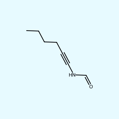 CCCCC#CNC=O